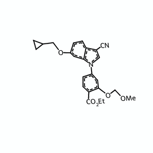 CCOC(=O)c1ccc(-n2cc(C#N)c3ccc(OCC4CC4)cc32)cc1OCOC